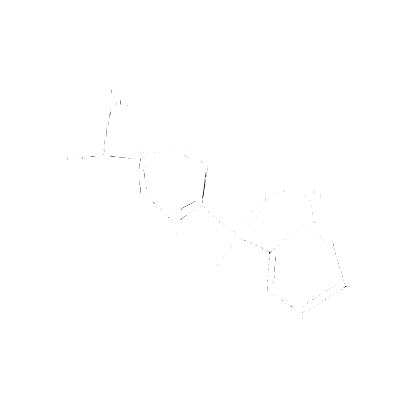 Cc1ccccc1S(=O)(=O)c1ccc(B(O)O)cc1